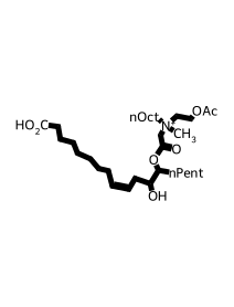 CCCCCCCC[N+](C)(CCOC(C)=O)CC(=O)OC(CCCCC)C(O)C/C=C\CCCCCCCC(=O)O